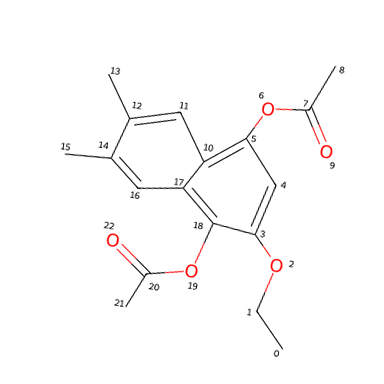 CCOc1cc(OC(C)=O)c2cc(C)c(C)cc2c1OC(C)=O